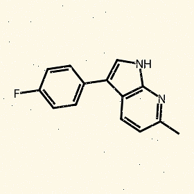 Cc1ccc2c(-c3ccc(F)cc3)c[nH]c2n1